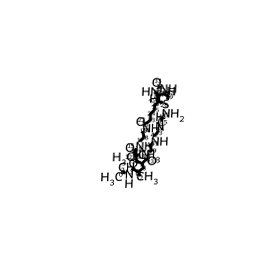 CC(C)NC(=O)C(C)CC(CC(C)(C)C(=O)NCCCNC(=O)CCCCC1SC[C@H]2NC(=O)N[C@@H]12)C(=O)NCCNCCNCCN